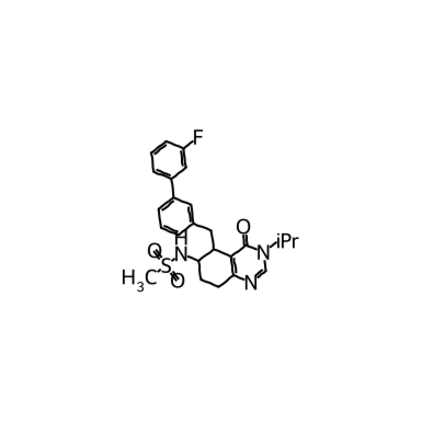 CC(C)n1cnc2c(c1=O)C(Cc1cccc(-c3cccc(F)c3)c1)C(NS(C)(=O)=O)CC2